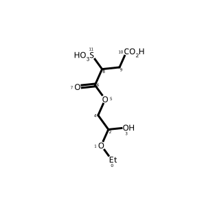 CCOC(O)COC(=O)C(CC(=O)O)S(=O)(=O)O